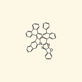 c1ccc(-c2ccc(-c3nc4oc5ccccc5c4nc3-n3c4cc5ccccc5cc4c4c5c6ccccc6c6ccccc6c5ccc43)c3ccccc23)cc1